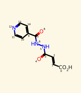 O=C(O)C=CC(=O)NNC(=O)c1ccncc1